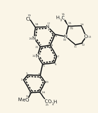 COc1ccc(-c2ccc3c(N4CCOC[C@@H]4C)nc(Cl)nc3n2)cc1C(=O)O